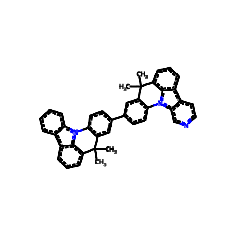 CC1(C)c2cc(-c3ccc4c(c3)C(C)(C)c3cccc5c6ccncc6n-4c35)ccc2-n2c3ccccc3c3cccc1c32